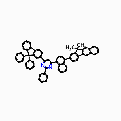 CC1(C)c2cc(-c3ccc(-c4cc(-c5ccc6c(c5)C(c5ccccc5)(c5ccccc5)c5ccccc5-6)nc(-c5ccccc5)n4)c4ccccc34)ccc2-c2cc3ccccc3cc21